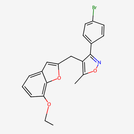 CCOc1cccc2cc(Cc3c(-c4ccc(Br)cc4)noc3C)oc12